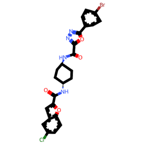 O=C(N[C@H]1CC[C@H](NC(=O)c2nnc(-c3ccc(Br)cc3)o2)CC1)c1cc2cc(Cl)ccc2o1